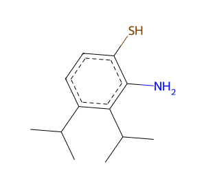 CC(C)c1ccc(S)c(N)c1C(C)C